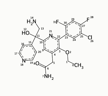 CCOc1c(CC(N)=O)cc(C(O)(CN)c2ccncc2)nc1-c1cc(Cl)c(F)cc1F